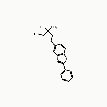 CC(N)(CO)CCc1ccc2oc(-c3ccccc3)nc2c1